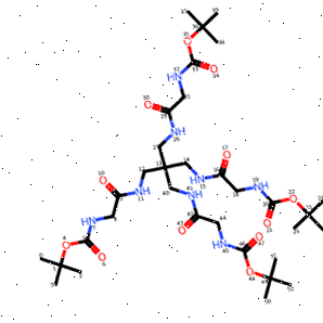 CC(C)(C)OC(=O)NCC(=O)NCC(CNC(=O)CNC(=O)OC(C)(C)C)(CNC(=O)CNC(=O)OC(C)(C)C)CNC(=O)CNC(=O)OC(C)(C)C